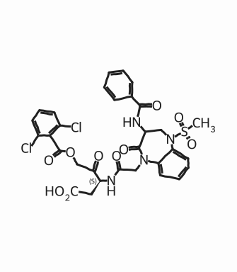 CS(=O)(=O)N1CC(NC(=O)c2ccccc2)C(=O)N(CC(=O)N[C@@H](CC(=O)O)C(=O)COC(=O)c2c(Cl)cccc2Cl)c2ccccc21